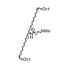 CCCCCCCC/C=C\CCCCCCCCOCC(COCCCCCCCC/C=C\CCCCCCCC)NC(=O)OCCNC